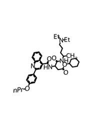 CCCOc1ccc(-c2cc(C(=O)NC(CC(=O)OC3CCCCC3)C(=O)NC(C)CCCN(CC)CC)c3ccccc3n2)cc1